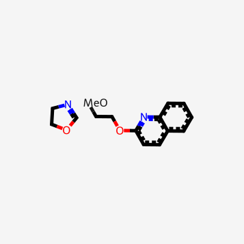 C1=NCCO1.COCCOc1ccc2ccccc2n1